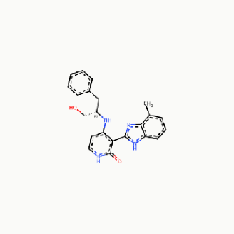 Cc1cccc2[nH]c(-c3c(N[C@H](CO)Cc4ccccc4)cc[nH]c3=O)nc12